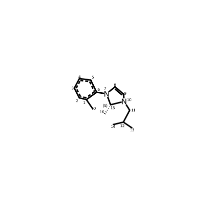 Cc1ccccc1N1C=CN(CC(C)C)[C@@H]1C